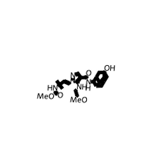 COCCNc1c(C(=O)NC2C3CC4CC2CC(O)(C4)C3)cnn1/C=C/C(C)(C)NC(=O)OC